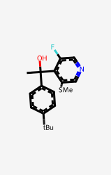 CSc1cncc(F)c1C(C)(O)c1ccc(C(C)(C)C)cc1